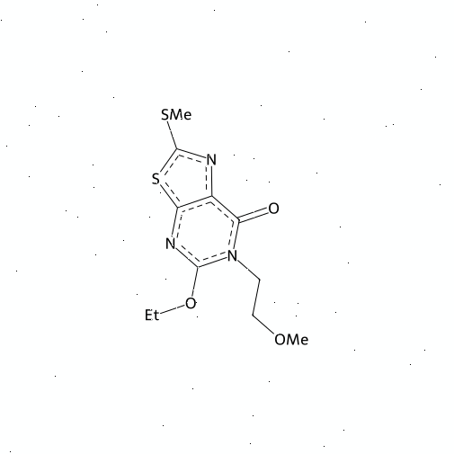 CCOc1nc2sc(SC)nc2c(=O)n1CCOC